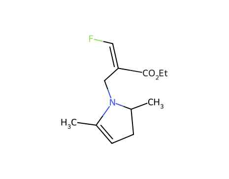 CCOC(=O)/C(=C/F)CN1C(C)=CCC1C